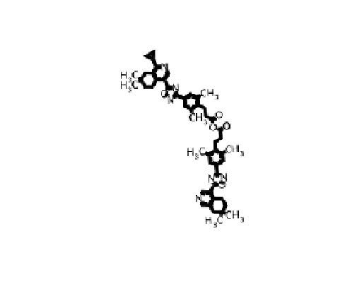 Cc1cc(-c2noc(-c3cncc4c3CCC(C)(C)C4)n2)cc(C)c1CCC(=O)OC(=O)CCc1c(C)cc(-c2noc(-c3cnc(C4CC4)c4c3CCC(C)(C)C4)n2)cc1C